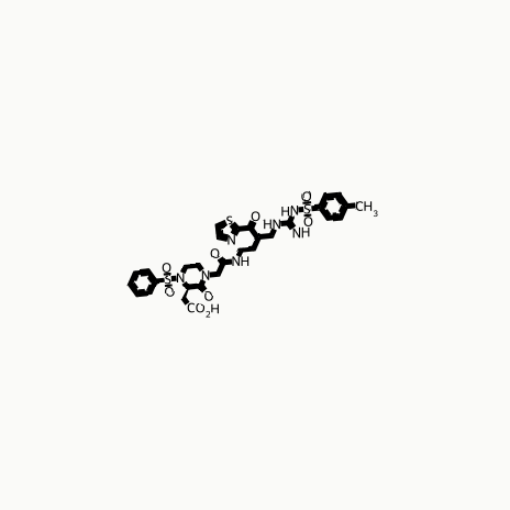 Cc1ccc(S(=O)(=O)NC(=N)NCC(CCNC(=O)CN2CCN(S(=O)(=O)c3ccccc3)[C@H](CC(=O)O)C2=O)C(=O)c2nccs2)cc1